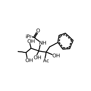 CC(=O)C(O)(Cc1ccccc1)C(O)(NC(=O)C(C)C)C(O)C(C)O